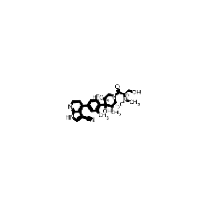 Cc1cc(-c2ccnc3[nH]cc(C#N)c23)cc(F)c1C1(O)[C@H](C)CN(C(=O)[C@@H](CO)N(C)C)C[C@@H]1C